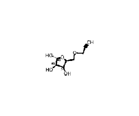 C#CCOCC1O[C@@H](O)[C@H](O)[C@@H]1O